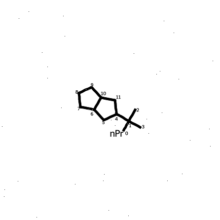 CCCC(C)(C)C1CC2CCCC2C1